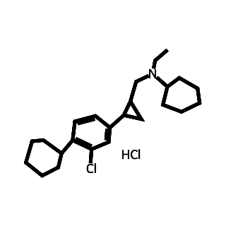 CCN(CC1CC1c1ccc(C2CCCCC2)c(Cl)c1)C1CCCCC1.Cl